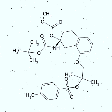 COC(=O)O[C@]1(NC(=O)OC(C)(C)C)CCc2cccc(OCC(C)(C)OS(=O)(=O)c3ccc(C)cc3)c2C1